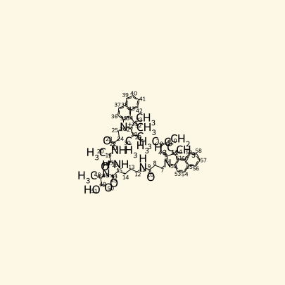 C=C=C(C)/C=C1/N(CCC(=O)NCCC[C@H](NC(=O)[C@H](C)NC(=O)CC[N+]2=C(C(C)C)C(C)(C)c3c2ccc2ccccc32)C(=O)N[C@@H](C)C(=O)O)c2ccc3ccccc3c2C1(C)C